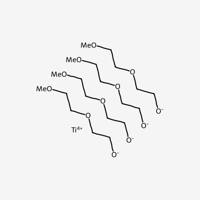 COCCOCC[O-].COCCOCC[O-].COCCOCC[O-].COCCOCC[O-].[Ti+4]